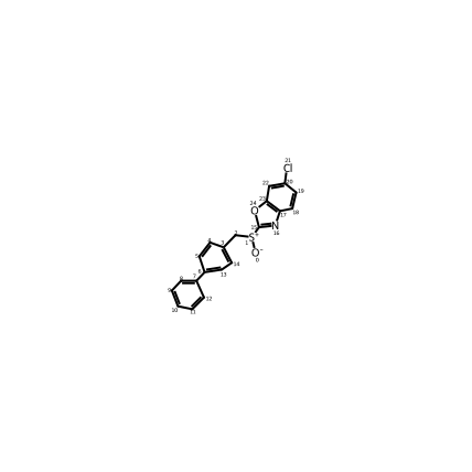 [O-][S+](Cc1ccc(-c2ccccc2)cc1)c1nc2ccc(Cl)cc2o1